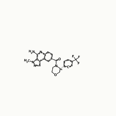 Cn1ncc2c3cc(C(=O)N4CCOC[C@H]4c4ccc(C(F)(F)F)cc4)ccc3nc(N)c21